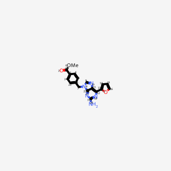 COC(=O)c1ccc(Cn2cnc3c(-c4ccco4)nc(N)nc32)cc1